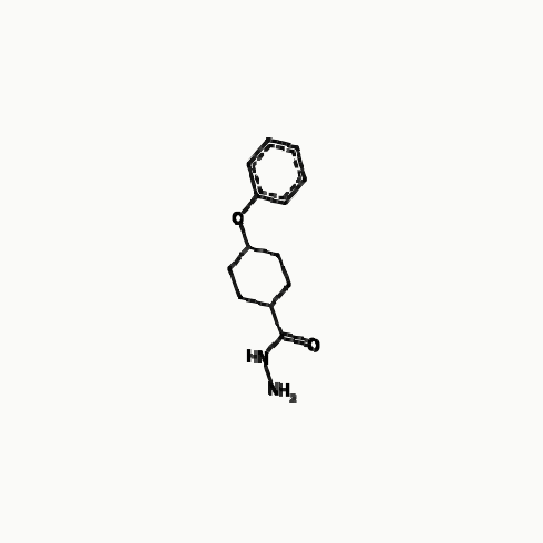 NNC(=O)C1CCC(Oc2ccccc2)CC1